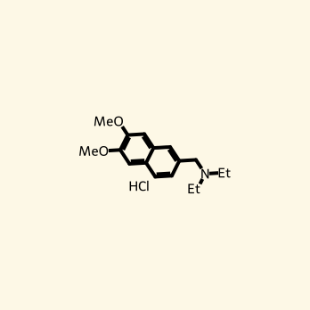 CCN(CC)Cc1ccc2cc(OC)c(OC)cc2c1.Cl